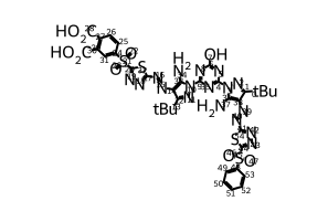 CC(C)(C)c1nn(-c2nc(O)nc(-n3nc(C(C)(C)C)c(N=Nc4nnc(S(=O)(=O)c5ccc(C(=O)O)c(C(=O)O)c5)s4)c3N)n2)c(N)c1N=Nc1nnc(S(=O)(=O)c2ccccc2)s1